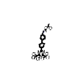 CC(=O)O/N=C/c1ccc(-c2ccc(-c3nc(C(Cl)(Cl)Cl)nc(C(Cl)(Cl)Cl)n3)cc2)cc1